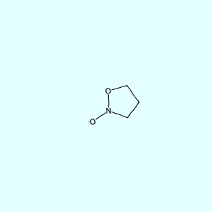 [O]N1CCCO1